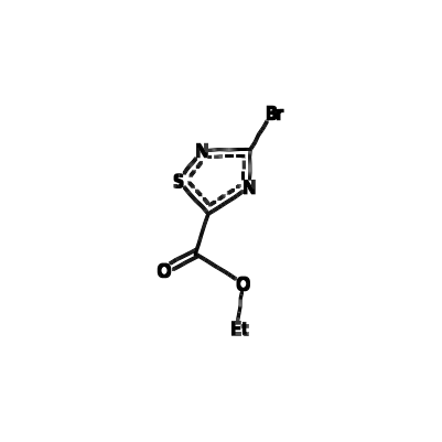 CCOC(=O)c1nc(Br)ns1